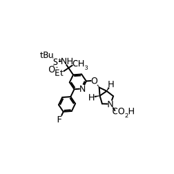 CCC(C)(N[S+]([O-])C(C)(C)C)c1cc(O[C@@H]2[C@@H]3CN(C(=O)O)C[C@@H]32)nc(-c2ccc(F)cc2)c1